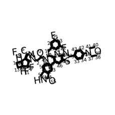 O=C(Cn1nc(C(F)(F)F)c2c1C(F)(F)[C@@H]1CC[C@H]21)N[C@@H](Cc1cc(F)cc(F)c1)c1nc2nc(-c3ccc(N4CCOCC4)cc3)sc2cc1-c1ccc2c(c1)C(=O)NC2